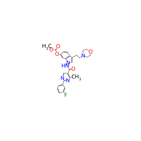 COC(=O)Oc1ccc2c(CCN3CCOCC3)cn(NC(=O)c3cnc(-c4cccc(F)c4)nc3C)c2c1